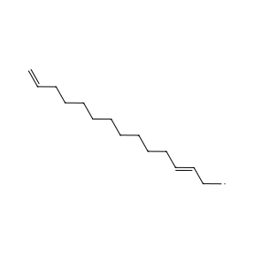 [CH2]CC=CCCCCCCCCCC=C